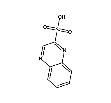 O=S(=O)(O)c1cnc2ccccc2n1